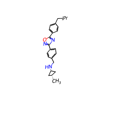 CC(C)Cc1ccc(-c2nc(-c3ccc(CN[C@H]4C[C@@H](C)C4)cc3)no2)cc1